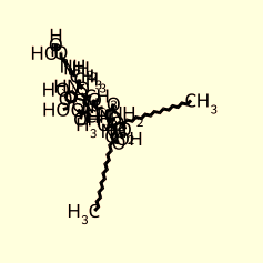 CCCCCCCCCCCCCCCC(=O)OC([C@H](CO)OC(=O)CCCCCCCCCCCCCCC)[C@@](C)(N)C(=O)N[C@H](CCC(=O)N(CC(C)O[C@H]1[C@H](O)[C@@H](CO)O[C@H](O)[C@@H]1NC(C)=O)[C@@H](C)C(=O)O)C(N)=O.CCN.NCCO[PH](=O)O